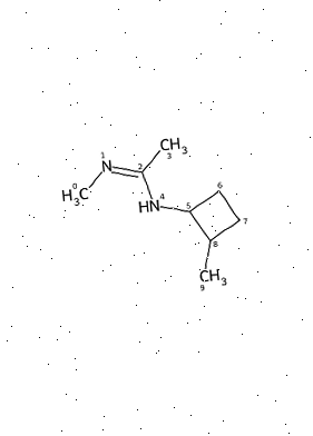 C/N=C(/C)NC1CCC1C